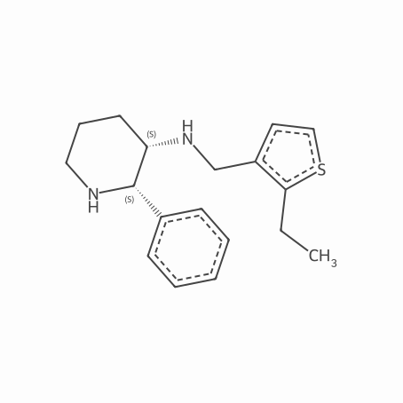 CCc1sccc1CN[C@H]1CCCN[C@H]1c1ccccc1